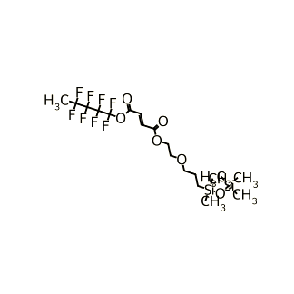 CC(F)(F)C(F)(F)C(F)(F)C(F)(F)OC(=O)/C=C/C(=O)OCCOCCC[Si](C)(C)O[Si](C)(C)C